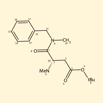 CN[C@@H](CC(=O)OC(C)(C)C)C(=O)N(C)Cc1ccccc1